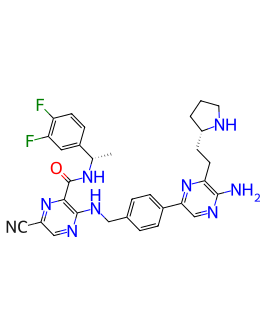 C[C@H](NC(=O)c1nc(C#N)cnc1NCc1ccc(-c2cnc(N)c(CC[C@@H]3CCCN3)n2)cc1)c1ccc(F)c(F)c1